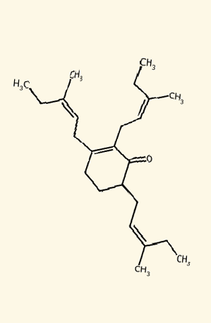 CCC(C)=CCC1=C(CC=C(C)CC)C(=O)C(CC=C(C)CC)CC1